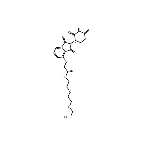 O=C(O)COCCOCCNC(=O)COc1cccc2c1C(=O)N([C@@H]1CCC(=O)NC1=O)C2=O